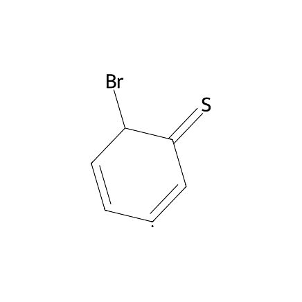 S=C1C=[C]C=CC1Br